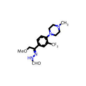 COC/C(=N\NC=O)c1ccc(N2CCN(C)CC2)c(C(F)(F)F)c1